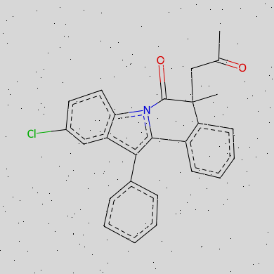 CC(=O)CC1(C)C(=O)n2c(c(-c3ccccc3)c3cc(Cl)ccc32)-c2ccccc21